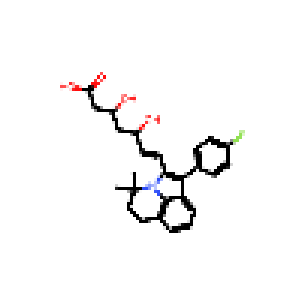 CC1(C)CCc2cccc3c(-c4ccc(F)cc4)c(/C=C/C(O)CC(O)CC(=O)O)n1c23